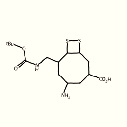 CC(C)(C)OC(=O)NCC1CC(N)CC(C(=O)O)CC2SSC12